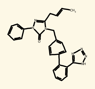 CC=CCc1nn(-c2ccccc2)c(=O)n1Cc1ccc(-c2ccccc2-c2nnn[nH]2)cc1